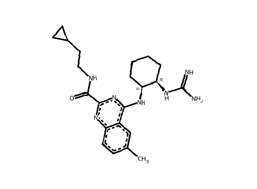 Cc1ccc2nc(C(=O)NCCC3CC3)nc(N[C@H]3CCCC[C@H]3NC(=N)N)c2c1